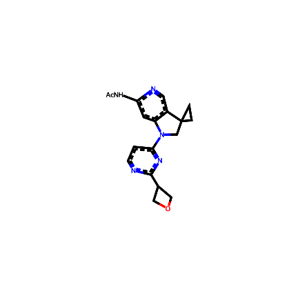 CC(=O)Nc1cc2c(cn1)C1(CC1)CN2c1ccnc(C2COC2)n1